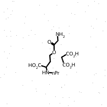 CCCNC(CCOC(=O)CN)C(=O)O.O=C(O)CC(=O)O